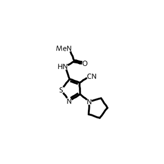 CNC(=O)Nc1snc(N2CCCC2)c1C#N